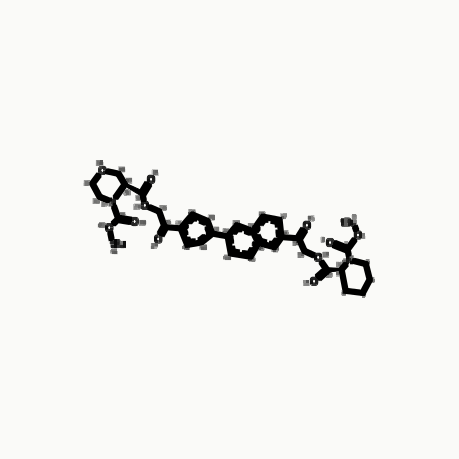 CC(C)(C)OC(=O)N1CCCC[C@H]1C(=O)OCC(=O)c1ccc2cc(-c3ccc(C(=O)COC(=O)[C@@H]4COCCN4C(=O)OC(C)(C)C)cc3)ccc2c1